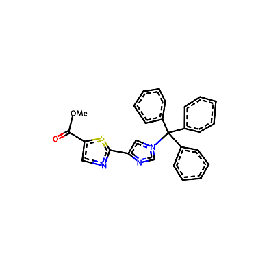 COC(=O)c1cnc(-c2cn(C(c3ccccc3)(c3ccccc3)c3ccccc3)cn2)s1